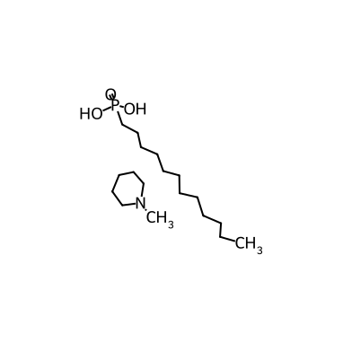 CCCCCCCCCCCCP(=O)(O)O.CN1CCCCC1